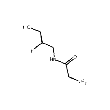 CCC(=O)NCC(F)CO